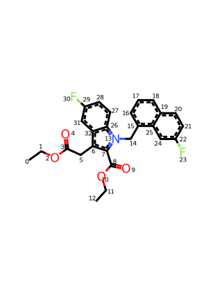 CCOC(=O)Cc1c(C(=O)OCC)n(Cc2cccc3ccc(F)cc23)c2ccc(F)cc12